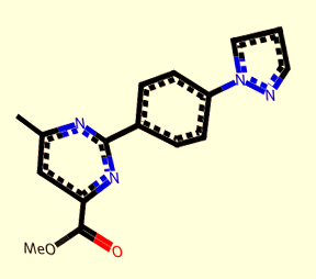 COC(=O)c1cc(C)nc(-c2ccc(-n3cccn3)cc2)n1